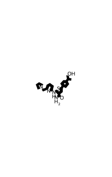 CC(CO)c1ccc(-c2cc(C(N)=O)c(Nc3cccc(CN4CCCC4)n3)s2)cc1